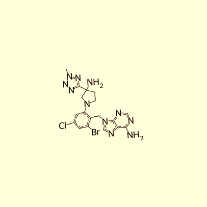 Cn1nnc(C2(N)CCN(c3cc(Cl)cc(Br)c3Cn3cnc4c(N)ncnc43)C2)n1